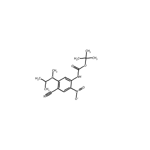 CC(C)N(C)c1cc(NC(=O)OC(C)(C)C)c([N+](=O)[O-])cc1C#N